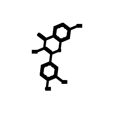 C=C1C(O)=C(c2ccc(O)c(O)c2)Oc2cc(O)ccc21